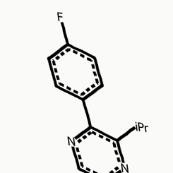 CC(C)c1nccnc1-c1ccc(F)cc1